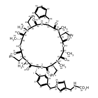 CC(C)C[C@H]1C(=O)O[C@H](Cc2ccc(Cn3cc(CNC(=O)O)cn3)cc2)C(=O)N(C)[C@@H](CC(C)C)C(=O)O[C@H](C)C(=O)N(C)[C@@H](CC(C)C)C(=O)O[C@H](Cc2ccccc2)C(=O)N(C)[C@@H](CC(C)C)C(=O)O[C@H](C)C(=O)N1C